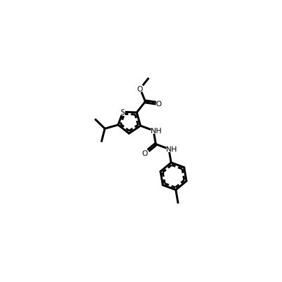 COC(=O)c1sc(C(C)C)cc1NC(=O)Nc1ccc(C)cc1